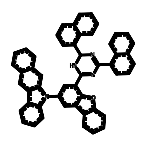 c1ccc2cc3c(cc2c1)c1ccccc1n3-c1cc(C2=NC(c3cccc4ccccc34)=NC(c3cccc4ccccc34)N2)c2oc3ccccc3c2c1